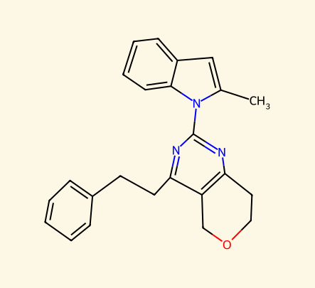 Cc1cc2ccccc2n1-c1nc2c(c(CCc3ccccc3)n1)COCC2